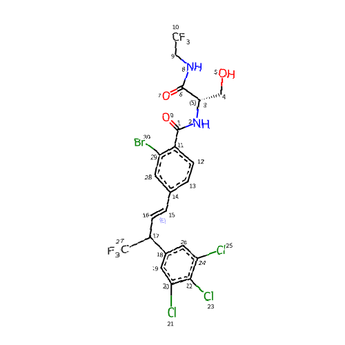 O=C(N[C@@H](CO)C(=O)NCC(F)(F)F)c1ccc(/C=C/C(c2cc(Cl)c(Cl)c(Cl)c2)C(F)(F)F)cc1Br